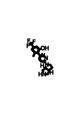 Cc1cc(C(F)(F)F)cc(O)c1-c1ccc(N2CC[C@H]3CNC[C@H]32)nn1